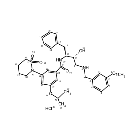 COc1cccc(CNC[C@@H](O)[C@H](Cc2ccccc2)NC(=O)c2cc(OC(C)C)cc(N3CCCCS3(=O)=O)c2)c1.Cl